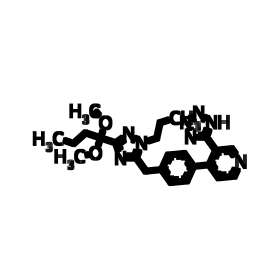 CCCn1nc(C(CCC)(OC)OC)nc1Cc1ccc(-c2ccncc2-c2nnn[nH]2)cc1